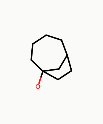 [O]C12CCCCC(CC1)C2